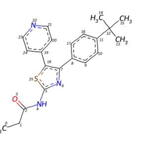 CCC(=O)Nc1nc(-c2ccc(C(C)(C)C)cc2)c(-c2ccncc2)s1